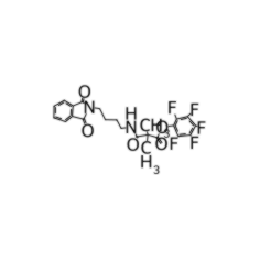 CC(C)(C(=O)NCCCCN1C(=O)c2ccccc2C1=O)C(=O)Oc1c(F)c(F)c(F)c(F)c1F